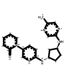 Cc1cnc(N[C@H]2CC[C@H](Nc3ccc(-n4ccccc4=O)cn3)C2)cn1